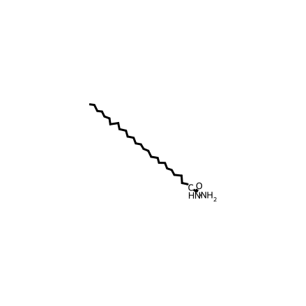 CCCCCCCCCCCCCCCCCCCCCCCCCCCC(=O)NN